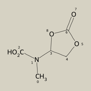 CN(C(=O)O)C1COC(=O)O1